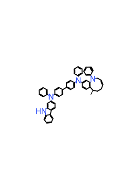 C[C@@H]1CC/C=C\CN(c2c#cccc2)c2cc(N(c3ccccc3)c3ccc(-c4ccc(N(c5ccccc5)c5ccc6c(c5)[nH]c5ccccc56)cc4)cc3)ccc21